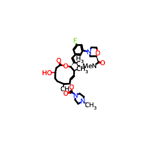 CNC(=O)[C@H]1CN(c2cc(F)cc(/C=C(\C)[C@H]3OC(=O)C[C@H](O)CC[C@H](C)[C@@H](OC(=O)N4CCN(C)CC4)/C=C/[C@@H]3C)c2)CCO1